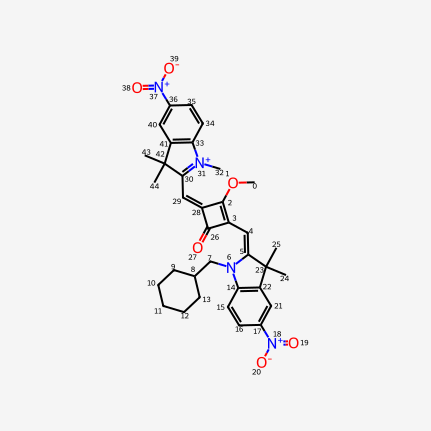 COC1=C(/C=C2\N(CC3CCCCC3)c3ccc([N+](=O)[O-])cc3C2(C)C)C(=O)/C1=C/C1=[N+](C)c2ccc([N+](=O)[O-])cc2C1(C)C